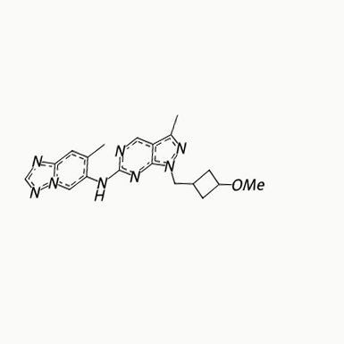 COC1CC(Cn2nc(C)c3cnc(Nc4cn5ncnc5cc4C)nc32)C1